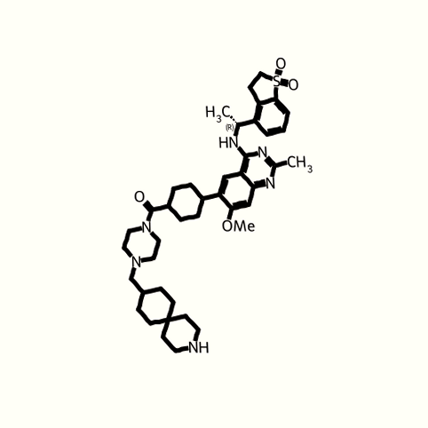 COc1cc2nc(C)nc(N[C@H](C)c3cccc4c3CCS4(=O)=O)c2cc1C1CCC(C(=O)N2CCN(CC3CCC4(CCNCC4)CC3)CC2)CC1